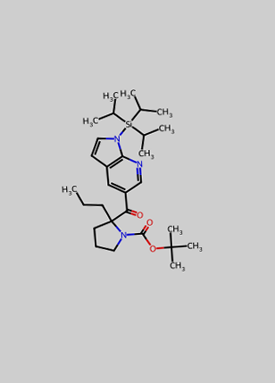 CCCC1(C(=O)c2cnc3c(ccn3[Si](C(C)C)(C(C)C)C(C)C)c2)CCCN1C(=O)OC(C)(C)C